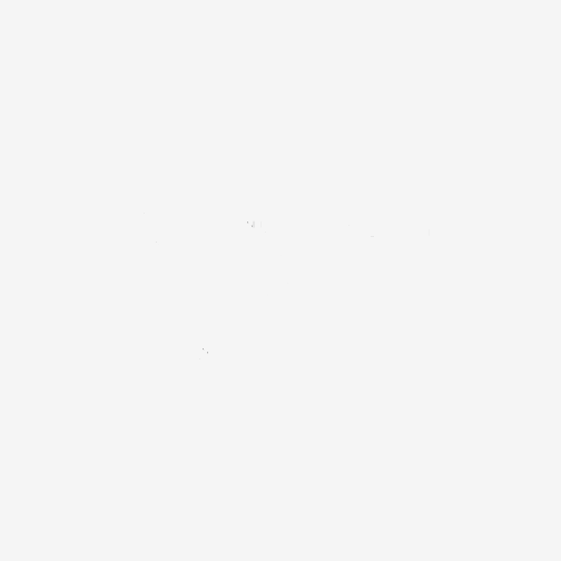 C=CC(=O)Oc1ccc(Oc2ccc(OC(=O)C=C)cc2CN)c(CN)c1